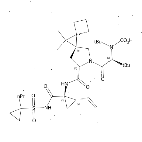 C=C[C@@H]1C[C@]1(NC(=O)[C@@H]1C[C@@]2(CN1C(=O)[C@@H](N(C(=O)O)C(C)(C)C)C(C)(C)C)C(C)(C)C21CCC1)C(=O)NS(=O)(=O)C1(CCC)CC1